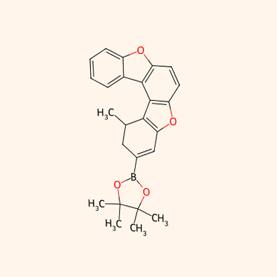 CC1CC(B2OC(C)(C)C(C)(C)O2)=Cc2oc3ccc4oc5ccccc5c4c3c21